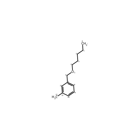 [CH2]CCCCOCc1cccc(C)c1